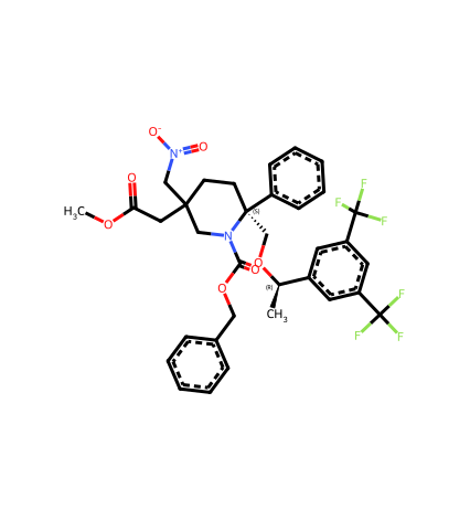 COC(=O)CC1(C[N+](=O)[O-])CC[C@@](CO[C@H](C)c2cc(C(F)(F)F)cc(C(F)(F)F)c2)(c2ccccc2)N(C(=O)OCc2ccccc2)C1